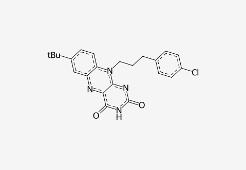 CC(C)(C)c1ccc2c(c1)nc1c(=O)[nH]c(=O)nc-1n2CCCc1ccc(Cl)cc1